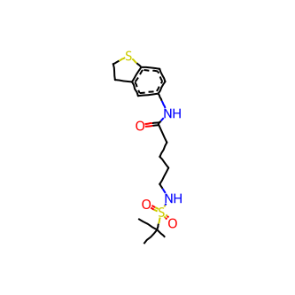 CC(C)(C)S(=O)(=O)NCCCCC(=O)Nc1ccc2c(c1)CCS2